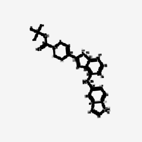 CC(C)(C)OC(=O)N1CC=C(c2cc3c(Nc4ccc5[nH]ccc5c4)ncnc3[nH]2)CC1